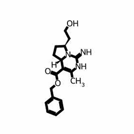 CC1=C(C(=O)OCc2ccccc2)[C@@H]2CC[C@@H](CCO)N2C(=N)N1